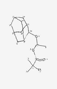 CCC(C)(C)C(=O)OC(C)OC1C2CC3CC(C2)CC1C3